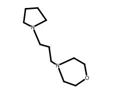 [CH](CN1CCCC1)CN1CCOCC1